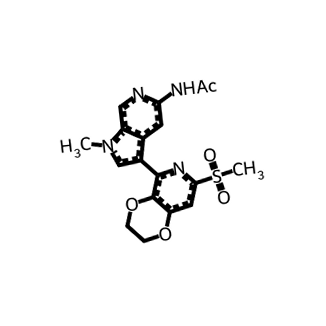 CC(=O)Nc1cc2c(-c3nc(S(C)(=O)=O)cc4c3OCCO4)cn(C)c2cn1